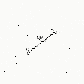 N.N.O=C(O)CCCCCCCCCCCCCCCC(=O)O